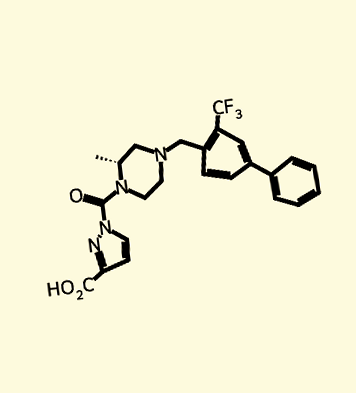 C[C@@H]1CN(Cc2ccc(-c3ccccc3)cc2C(F)(F)F)CCN1C(=O)n1ccc(C(=O)O)n1